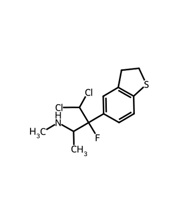 CNC(C)C(F)(c1ccc2c(c1)CCS2)C(Cl)Cl